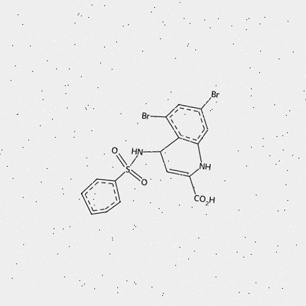 O=C(O)C1=CC(NS(=O)(=O)c2ccccc2)c2c(Br)cc(Br)cc2N1